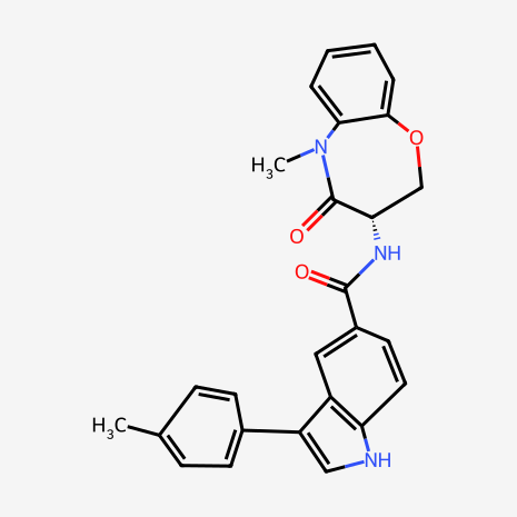 Cc1ccc(-c2c[nH]c3ccc(C(=O)N[C@H]4COc5ccccc5N(C)C4=O)cc23)cc1